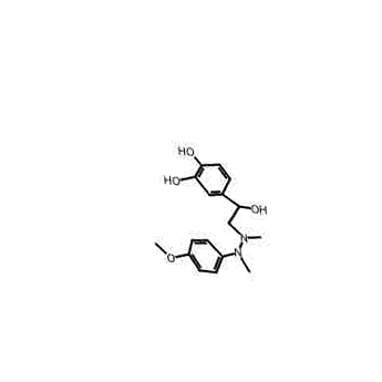 COc1ccc(N(C)N(C)CC(O)c2ccc(O)c(O)c2)cc1